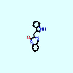 O=c1nc2ccccc2cnc1Cc1c[nH]c2ccccc12